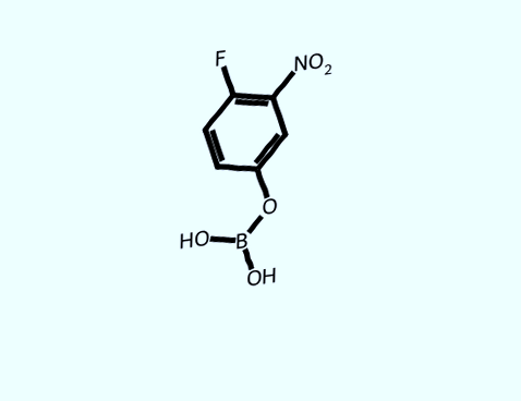 O=[N+]([O-])c1cc(OB(O)O)ccc1F